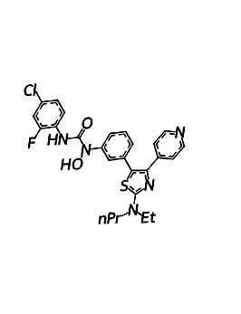 CCCN(CC)c1nc(-c2ccncc2)c(-c2cccc(N(O)C(=O)Nc3ccc(Cl)cc3F)c2)s1